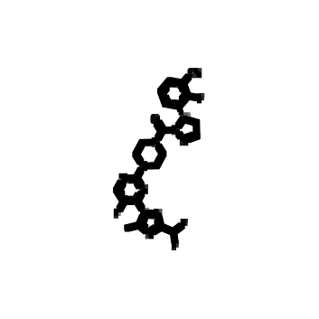 Cc1nc(C(F)F)nn1-c1nc(N2CCN(C(=O)N3N=CC[C@H]3c3cccc(C#N)c3F)CC2)ncc1F